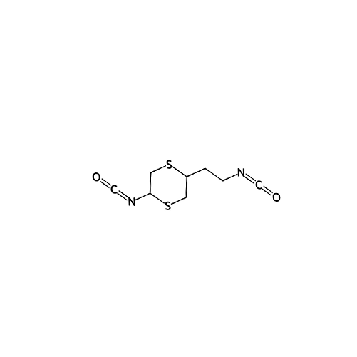 O=C=NCCC1CSC(N=C=O)CS1